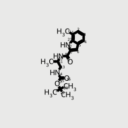 Cc1cccc2cc(C(=O)NC(C)CNC(=O)OC(C)(C)C)[nH]c12